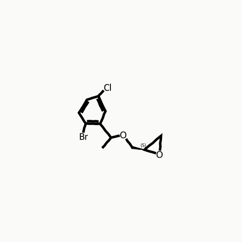 CC(OC[C@H]1CO1)c1cc(Cl)ccc1Br